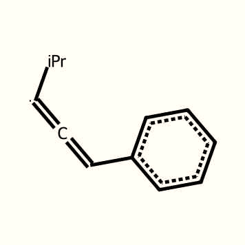 CC(C)[C]=C=Cc1ccccc1